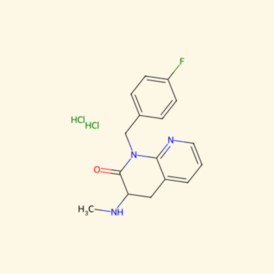 CNC1Cc2cccnc2N(Cc2ccc(F)cc2)C1=O.Cl.Cl